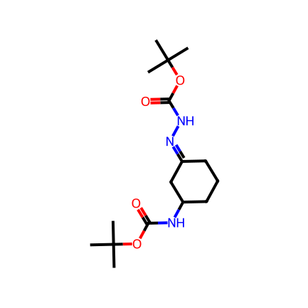 CC(C)(C)OC(=O)N/N=C1\CCCC(NC(=O)OC(C)(C)C)C1